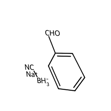 O=Cc1ccccc1.[BH3-]C#N.[Na+]